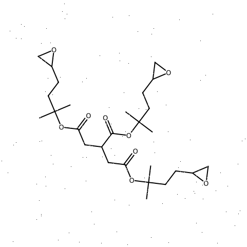 CC(C)(CCC1CO1)OC(=O)CC(CC(=O)OC(C)(C)CCC1CO1)C(=O)OC(C)(C)CCC1CO1